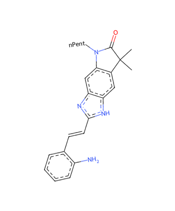 CCCCCN1C(=O)C(C)(C)c2cc3[nH]c(C=Cc4ccccc4N)nc3cc21